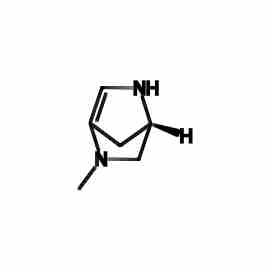 CN1C[C@@H]2CC1=CN2